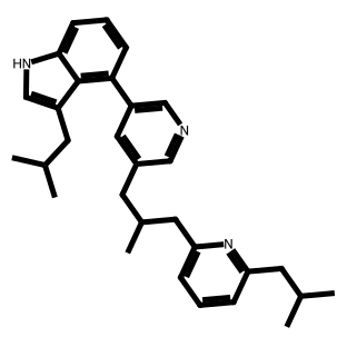 CC(C)Cc1cccc(CC(C)Cc2cncc(-c3cccc4[nH]cc(CC(C)C)c34)c2)n1